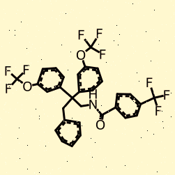 O=C(NCC(Cc1ccccc1)(c1cccc(OC(F)(F)F)c1)c1cccc(OC(F)(F)F)c1)c1ccc(C(F)(F)F)cc1